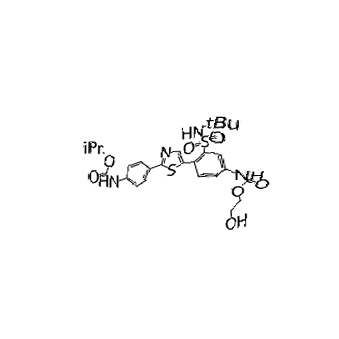 CC(C)OC(=O)Nc1ccc(-c2ncc(-c3ccc(NC(=O)OCCO)cc3S(=O)(=O)NC(C)(C)C)s2)cc1